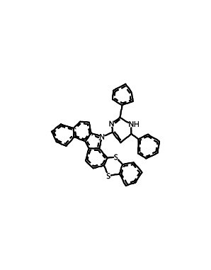 C1=C(n2c3ccc4ccccc4c3c3ccc4c(c32)Sc2ccccc2S4)N=C(c2ccccc2)NC1c1ccccc1